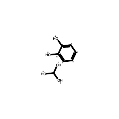 OC(O)O.Oc1ccccc1O